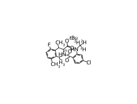 [2H]C([2H])([2H])Nc1cc(Cl)ccc1S(=O)(=O)N[C@H](C(=O)OC(C)(C)C)C(C)c1c(F)ccc(C)c1C